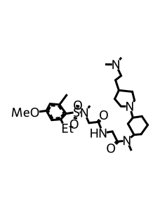 CCc1cc(OC)cc(C)c1S(=O)(=O)N(C)CC(=O)NCC(=O)N(C)C1CCCC(N2CCC(CCN(C)C)CC2)C1